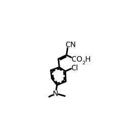 CN(C)c1ccc(C=C(C#N)C(=O)O)c(Cl)c1